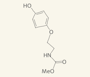 COC(=O)NCCOc1ccc(O)cc1